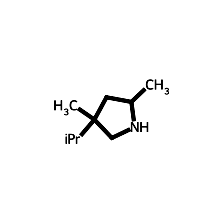 CC1CC(C)(C(C)C)CN1